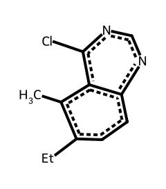 CCc1ccc2ncnc(Cl)c2c1C